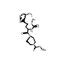 CCCCOC(=O)N1CCN(C(=O)C(CCc2nnnn2C)NC(=O)OC(C)(C)C)CC1